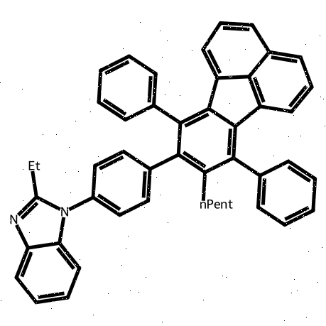 CCCCCc1c(-c2ccc(-n3c(CC)nc4ccccc43)cc2)c(-c2ccccc2)c2c(c1-c1ccccc1)-c1cccc3cccc-2c13